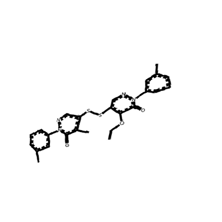 CCOc1c(SSc2cnn(-c3cccc(C)c3)c(=O)c2C)cnn(-c2cccc(C)c2)c1=O